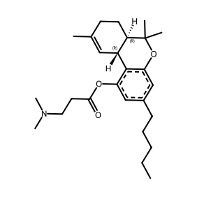 CCCCCc1cc(OC(=O)CCN(C)C)c2c(c1)OC(C)(C)[C@@H]1CCC(C)=C[C@@H]21